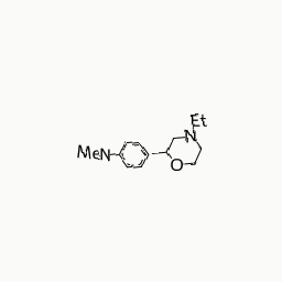 CCN1CCOC(c2ccc(NC)cc2)C1